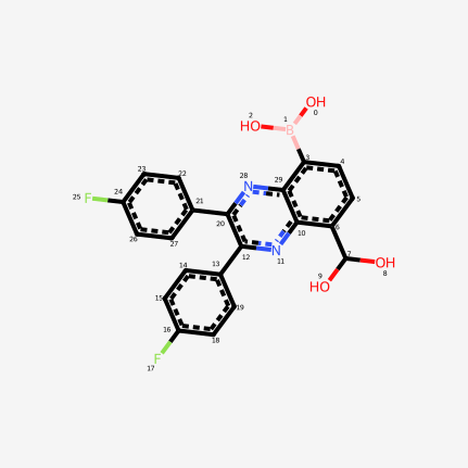 OB(O)c1ccc(C(O)O)c2nc(-c3ccc(F)cc3)c(-c3ccc(F)cc3)nc12